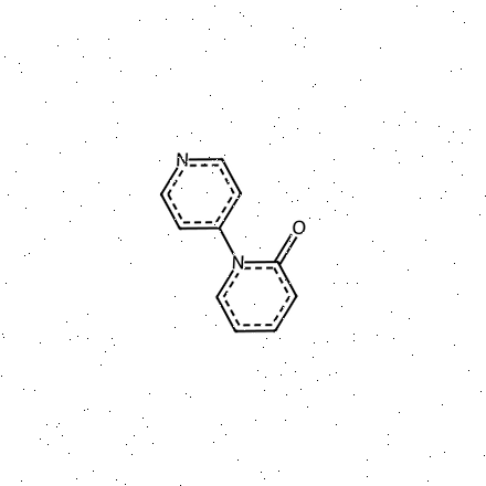 O=c1ccccn1-c1ccncc1